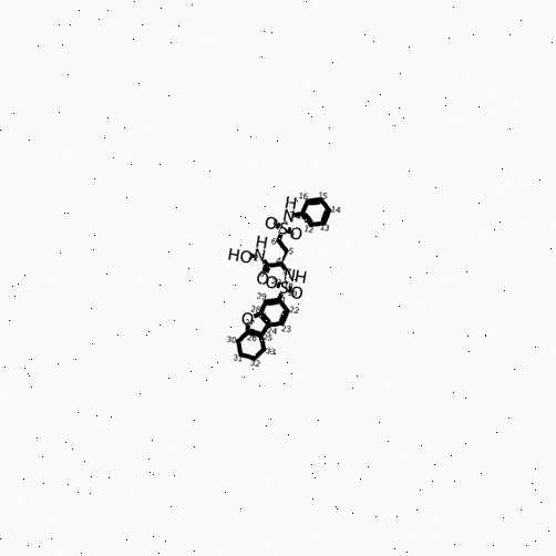 O=C(NO)[C@@H](CCS(=O)(=O)Nc1ccccc1)NS(=O)(=O)c1ccc2c3c(oc2c1)CCCC3